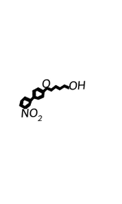 O=C(CCCCCO)c1ccc(-c2cccc([N+](=O)[O-])c2)cc1